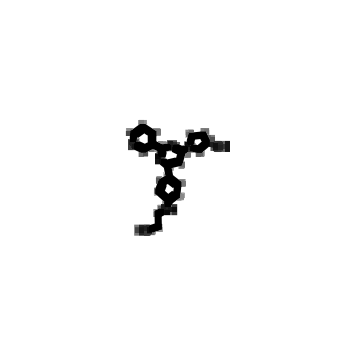 OCCNc1ccc(-c2cc(N3CC[C@H](O)C3)nc(-c3cccnc3)n2)cc1